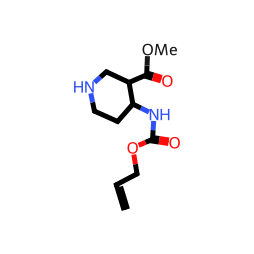 C=CCOC(=O)NC1CCNCC1C(=O)OC